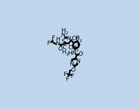 C[C@@H]1[C@@](C)(C(=O)NCC(F)F)SC(N)=N[C@]1(C)c1cc(NC(=O)c2cnc(OCC(F)(F)F)cn2)ccc1F